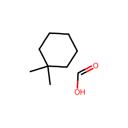 CC1(C)CCCCC1.O=CO